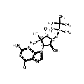 C=C1[C@H](O[Si](C)(C)C(C)(C)C)[C@@H](C)[C@@](C)(O)[C@@H]1n1cnc2c(Cl)nc(N)nc21